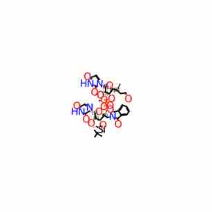 CO[C@H]1C(OP(=O)(OC)OC[C@@]2(CN3C(=O)c4ccccc4C3=O)O[C@@H](C3N=CC(=O)NC3=O)[C@@H](OC)C2O[Si](C)(C)C(C)(C)C)[C@@H]([C@@H](C)CC=O)O[C@H]1n1ccc(=O)[nH]c1=O